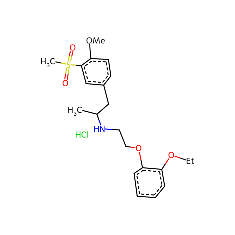 CCOc1ccccc1OCCNC(C)Cc1ccc(OC)c(S(C)(=O)=O)c1.Cl